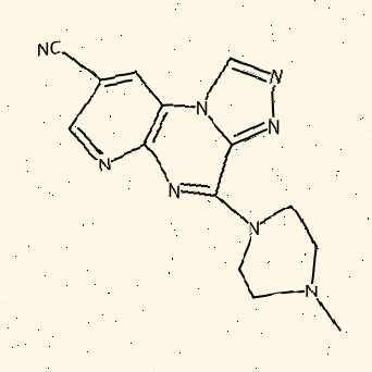 CN1CCN(c2nc3ncc(C#N)cc3n3cnnc23)CC1